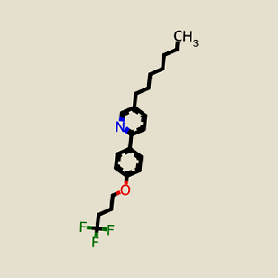 CCCCCCCc1ccc(-c2ccc(OCCCC(F)(F)F)cc2)nc1